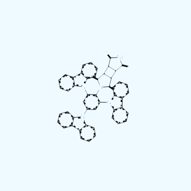 O=C1NC(=O)C2C1C1C(=O)N(c3c(-n4c5ccccc5c5ccccc54)cc(-n4c5ccccc5c5ccccc54)cc3-n3c4ccccc4c4ccccc43)C(=O)C21